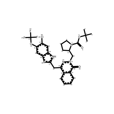 CC(C)(C)OC(=O)N1CCCC1Cn1nc(Cc2nc3cc(OC(F)(F)F)c(Cl)cc3[nH]2)c2ccccc2c1=O